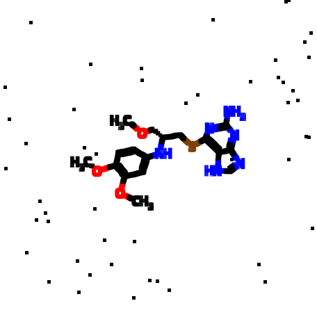 COC[C@H](CSc1nc(N)nc2nc[nH]c12)Nc1ccc(OC)c(OC)c1